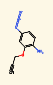 C#CCOc1cc(N=[N+]=[N-])ccc1N